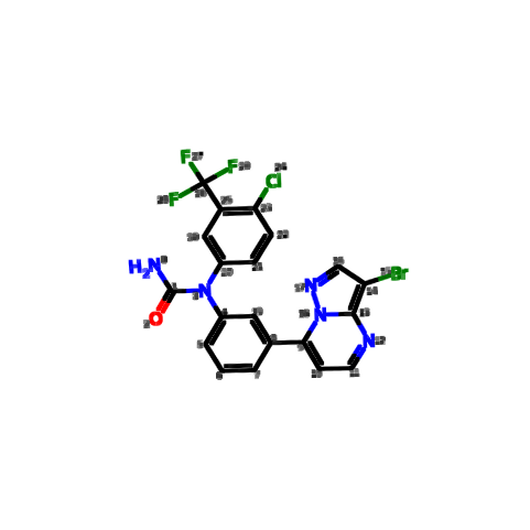 NC(=O)N(c1cccc(-c2ccnc3c(Br)cnn23)c1)c1ccc(Cl)c(C(F)(F)F)c1